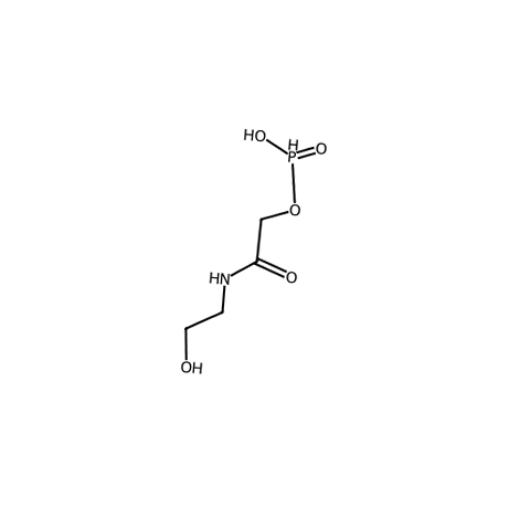 O=C(CO[PH](=O)O)NCCO